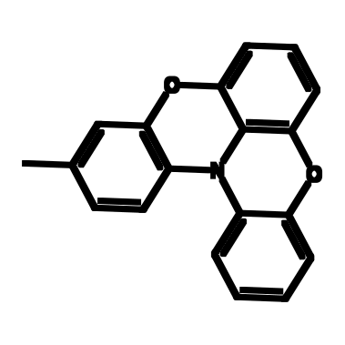 Cc1ccc2c(c1)Oc1cccc3c1N2c1ccccc1O3